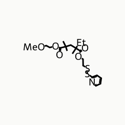 CCC(C)(CC(C)(C)C(=O)OCCOC)C(=O)OCCSSc1ccccn1